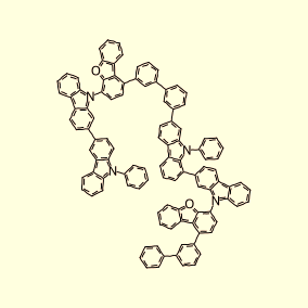 c1ccc(-c2cccc(-c3ccc(-n4c5ccccc5c5ccc(-c6cccc7c8ccc(-c9cccc(-c%10cccc(-c%11ccc(-n%12c%13ccccc%13c%13ccc(-c%14ccc%15c(c%14)c%14ccccc%14n%15-c%14ccccc%14)cc%13%12)c%12oc%13ccccc%13c%11%12)c%10)c9)cc8n(-c8ccccc8)c67)cc54)c4oc5ccccc5c34)c2)cc1